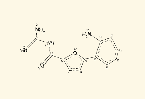 N=C(N)NC(=O)c1ccc(-c2ccccc2N)o1